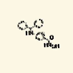 O=C(NO)c1ccc(NC(c2ccccc2)c2ccccc2)cn1